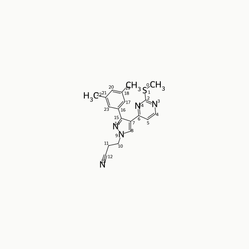 CSc1nccc(-c2cn(CCC#N)nc2-c2cc(C)cc(C)c2)n1